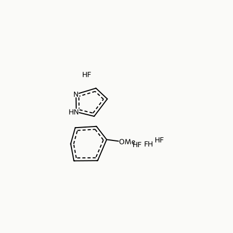 COc1ccccc1.F.F.F.F.c1cn[nH]c1